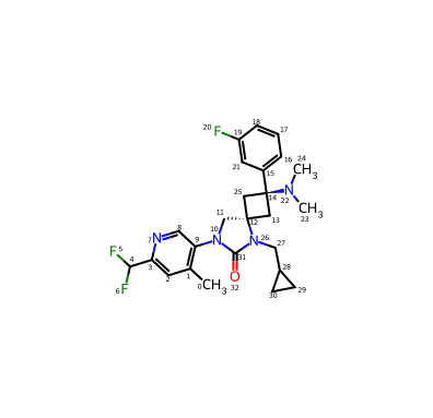 Cc1cc(C(F)F)ncc1N1C[C@]2(C[C@](c3cccc(F)c3)(N(C)C)C2)N(CC2CC2)C1=O